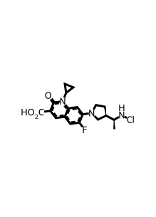 C[C@H](NCl)[C@@H]1CCN(c2cc3c(cc2F)cc(C(=O)O)c(=O)n3C2CC2)C1